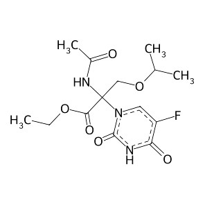 CCOC(=O)C(COC(C)C)(NC(C)=O)n1cc(F)c(=O)[nH]c1=O